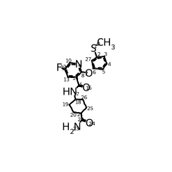 CSc1cccc(Oc2ncc(F)cc2C(=O)NC2CCC(C(N)=O)CC2)c1